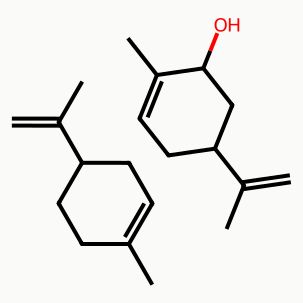 C=C(C)C1CC=C(C)C(O)C1.C=C(C)C1CC=C(C)CC1